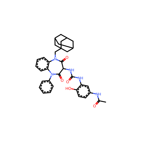 CC(=O)Nc1ccc(O)c(NC(=O)NC2C(=O)N(CC34CC5CC(CC(C5)C3)C4)c3ccccc3N(c3ccccc3)C2=O)c1